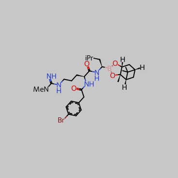 CNC(=N)NCCC[C@H](NC(=O)Cc1ccc(Br)cc1)C(=O)N[C@@H](CC(C)C)B1O[C@@H]2C[C@@H]3C[C@@H](C3(C)C)[C@]2(C)O1